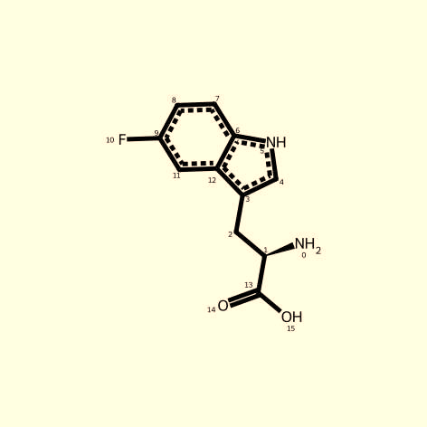 N[C@H](Cc1c[nH]c2ccc(F)cc12)C(=O)O